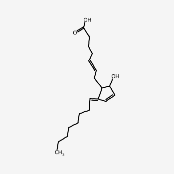 CCCCCCCC=C1C=CC(O)C1CC=CCCCC(=O)O